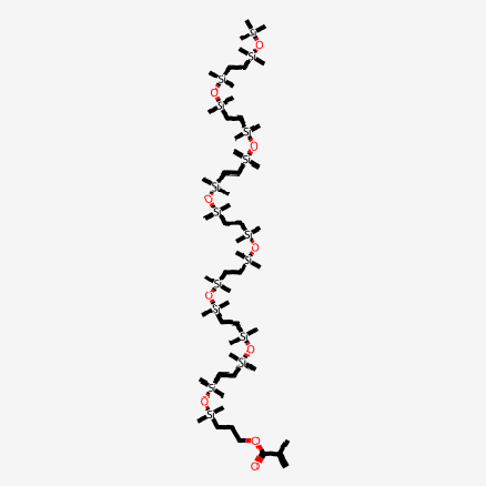 C=C(C)C(=O)OCCC[Si](C)(C)O[Si](C)(C)CC[Si](C)(C)O[Si](C)(C)CC[Si](C)(C)O[Si](C)(C)CC[Si](C)(C)O[Si](C)(C)CC[Si](C)(C)O[Si](C)(C)CC[Si](C)(C)O[Si](C)(C)CC[Si](C)(C)O[Si](C)(C)CC[Si](C)(C)O[Si](C)(C)C